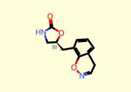 O=C1NC[C@H]([CH]c2cccc3c2ON=CC3)O1